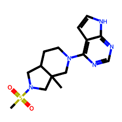 CC12CN(c3ncnc4[nH]ccc34)CCC1CN(S(C)(=O)=O)C2